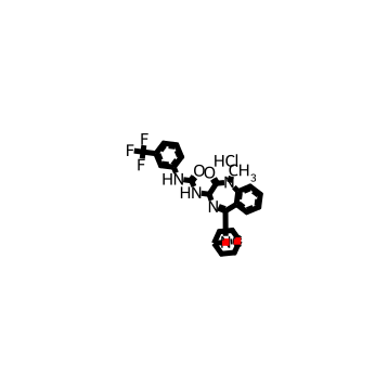 CN1C(=O)C(NC(=O)Nc2cccc(C(F)(F)F)c2)N=C(N2CC3CCC(CC3)C2)c2ccccc21.Cl